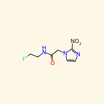 O=C(Cn1ccnc1[N+](=O)[O-])NCCF